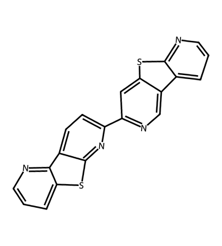 c1cnc2c(c1)sc1nc(-c3cc4sc5ncccc5c4cn3)ccc12